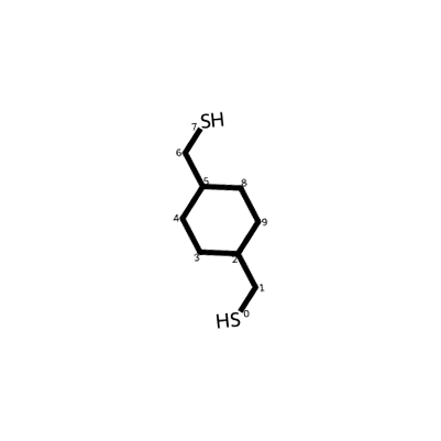 SCC1CCC(CS)CC1